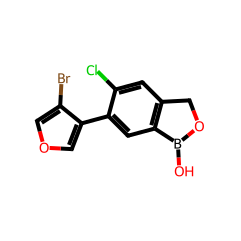 OB1OCc2cc(Cl)c(-c3cocc3Br)cc21